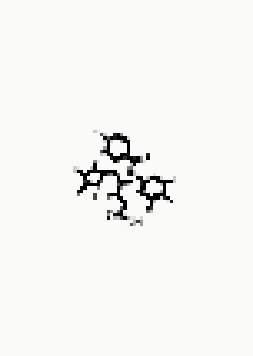 CC(CC1CC(C)C(C)C1Sc1cc(C(=O)Nc2cc(F)c(F)c(F)c2)ccc1Cl)C(O)CC(=O)O